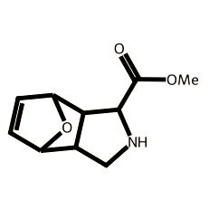 COC(=O)C1NCC2C3C=CC(O3)C12